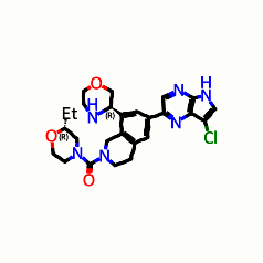 CC[C@@H]1CN(C(=O)N2CCc3cc(-c4cnc5[nH]cc(Cl)c5n4)cc([C@@H]4COCCN4)c3C2)CCO1